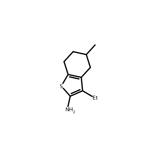 CCc1c(N)sc2c1CC(C)CC2